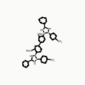 COc1cc(-c2ccc(N3NC(c4ccccc4)NN3c3ccc([N+](=O)[O-])cc3)c(OC)c2)ccc1N1NC(c2ccccc2)NN1c1ccc([N+](=O)[O-])cc1